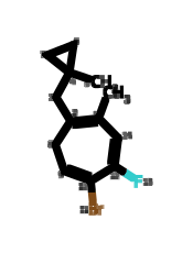 CC1=C(CC2(C)CC2)CC=C(Br)C(F)=C1